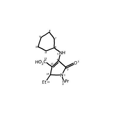 CCCN1C(=O)C(NC2CCCCC2)=C(C(=O)O)C1CC